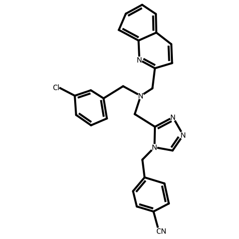 N#Cc1ccc(Cn2cnnc2CN(Cc2cccc(Cl)c2)Cc2ccc3ccccc3n2)cc1